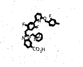 Cc1ccc(COc2cccc(-c3cc(F)c(Cc4nc5ccc(C(=O)O)cc5n4CC4CC5CCN4CC5)cc3F)n2)c(F)c1